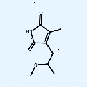 COC(C)CC1=C(C)C(=O)NC1=O